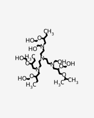 CCC(CN(CO)CCN(CCN(CO)CC(COC(C)C)OCO)CCN(CC(CC)OCO)CC(CC)OCO)OCO